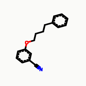 N#Cc1cccc(OCCCCc2ccccc2)c1